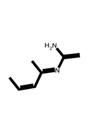 C=C(N)/N=C(C)/C=C\C